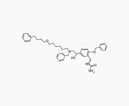 NC(=O)NCc1cc(C(O)CN(CCCCCCOCCCCc2ccccc2)Cc2ccccc2)ccc1OCc1ccccc1